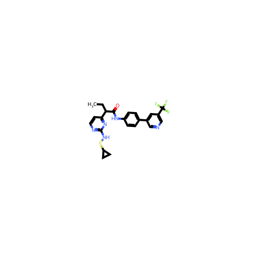 CCC(C(=O)Nc1ccc(-c2cncc(C(F)(F)F)c2)cc1)c1ccnc(NSC2CC2)n1